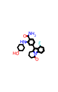 NC(=O)c1ccc(-c2c3n(c4cccc(F)c24)C(=O)CCC3)cc1N[C@H]1CC[C@H](O)CC1